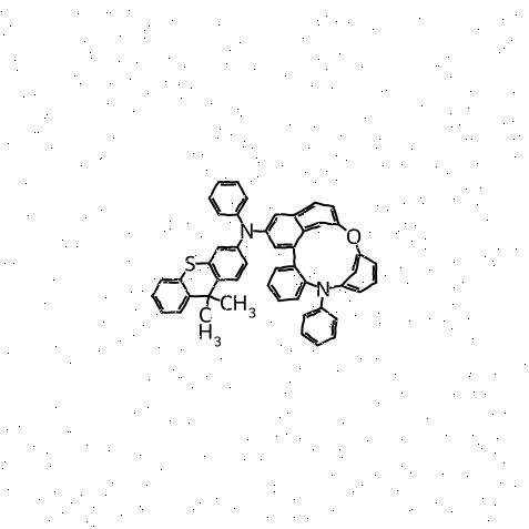 CC1(C)c2ccccc2Sc2cc(N(c3ccccc3)c3cc4ccc5cc4c(c3)c3ccccc3n(-c3ccccc3)c3cccc(c3)o5)ccc21